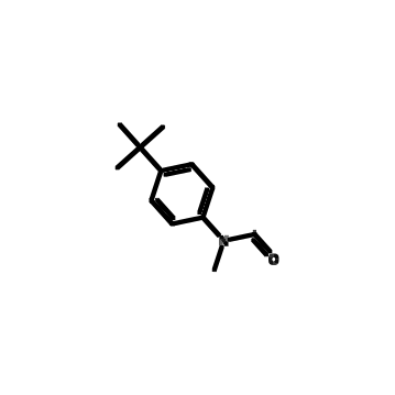 CN([C]=O)c1ccc(C(C)(C)C)cc1